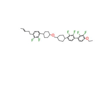 C/C=C/CCc1ccc(C2CCC(OCC3CCC(c4ccc(-c5ccc(OCC)c(F)c5F)c(F)c4F)CC3)CC2)c(F)c1F